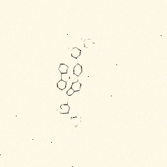 CC1(C)CN=C(c2cncc(-c3ccc4c(c3)C3(c5ccccc5-c5ccccc53)c3c-4ccc4cc(-c5cncc(C6=NCC(C)(C)O6)c5)ccc34)c2)O1